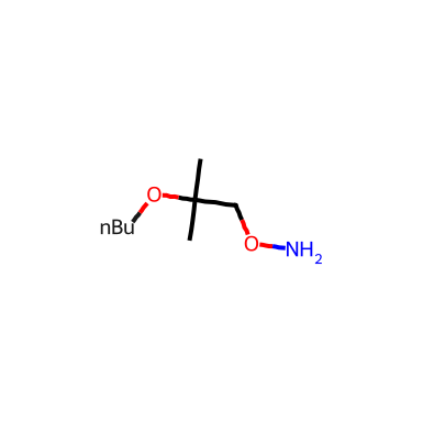 CCCCOC(C)(C)CON